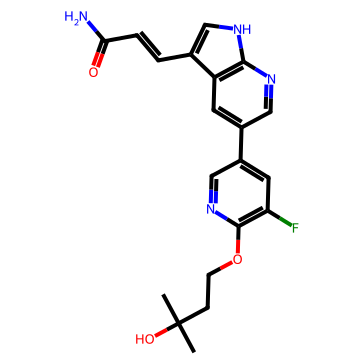 CC(C)(O)CCOc1ncc(-c2cnc3[nH]cc(C=CC(N)=O)c3c2)cc1F